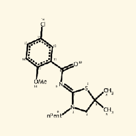 CCCCCN1CC(C)(C)SC1=NC(=O)c1cc(Cl)ccc1OC